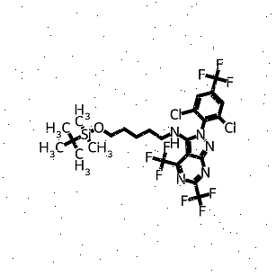 CC(C)(C)[Si](C)(C)OCCCCCNc1c2c(C(F)(F)F)nc(C(F)(F)F)nc2nn1-c1c(Cl)cc(C(F)(F)F)cc1Cl